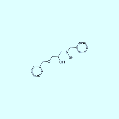 OC(COCc1ccccc1)CN(S)Cc1ccccc1